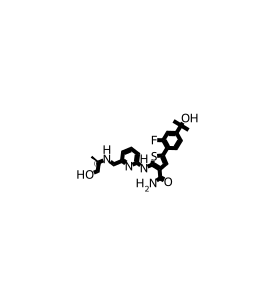 C[C@H](CO)NCc1cccc(Nc2sc(-c3ccc(C(C)(C)O)cc3F)cc2C(N)=O)n1